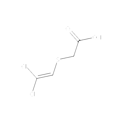 O=C(O)CSC=C(Cl)Cl